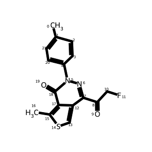 Cc1ccc(-n2nc(C(=O)CF)c3csc(C)c3c2=O)cc1